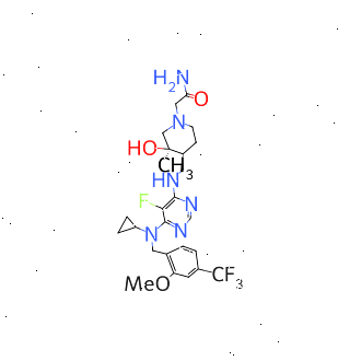 COc1cc(C(F)(F)F)ccc1CN(c1ncnc(NC[C@@H]2CCN(CC(N)=O)C[C@]2(C)O)c1F)C1CC1